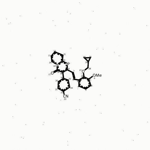 COc1cccc(C=Cc2nc3ccccn3c(=O)c2-c2ccc(C#N)cc2)c1OCC1CC1